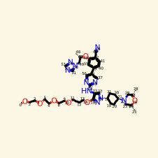 COCCOCCOCCOCCCOc1nn([C@H]2CC[C@H](N3C[C@@H](C)O[C@@H](C)C3)CC2)cc1Nc1ncc(-c2ccc(C#N)c(O[C@@H](C)Cn3cncn3)c2)cn1